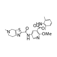 COc1ncc(NC(=O)c2nc3c(s2)CN(C)CC3)cc1S(=O)(=O)Nc1c(C)cccc1C